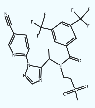 CC(c1ncnn1-c1ccc(C#N)cn1)N(CCS(C)(=O)=O)C(=O)c1cc(C(F)(F)F)cc(C(F)(F)F)c1